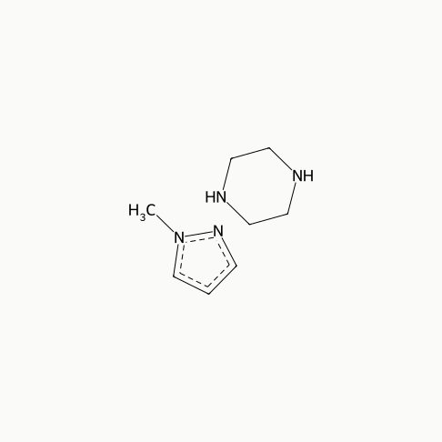 C1CNCCN1.Cn1cccn1